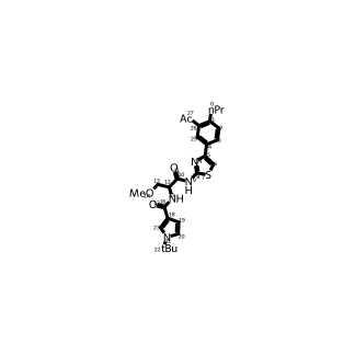 CCCc1ccc(-c2csc(NC(=O)C(COC)NC(=O)c3ccn(C(C)(C)C)c3)n2)cc1C(C)=O